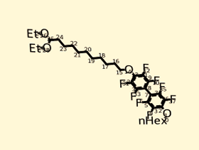 CCCCCCOc1c(F)c(F)c(-c2c(F)c(F)c(OCCCCCCCCCCC(OCC)OCC)c(F)c2F)c(F)c1F